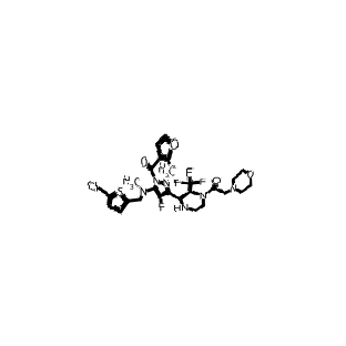 Cc1occc1C(=O)n1nc(C2NCCN(C(=O)CN3CCOCC3)C2C(F)(F)F)c(F)c1N(C)Cc1ccc(Cl)s1